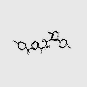 Cc1ccc(N2CCN(C)CC2)cc1C(=O)NC(C)c1cccc(C(=O)N2CCN(C)CC2)c1